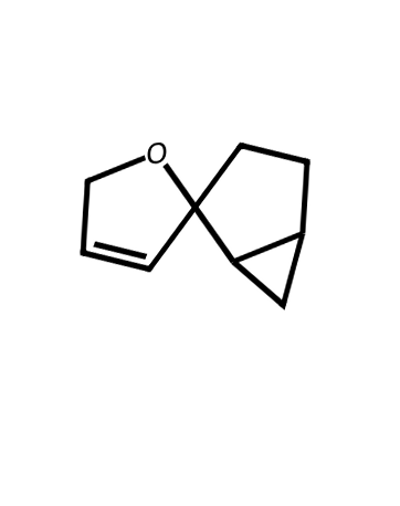 C1=CC2(CCC3CC32)OC1